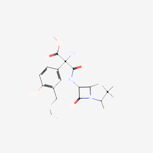 CC(C)(C)OC(=O)C(N)(C(=O)NC1C(=O)N2C1SC(C)(C)C2C(=O)O)c1ccc(O)c(CSC#N)c1